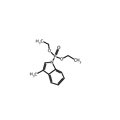 CCOP(=O)(OCC)n1cc(C)c2ccccc21